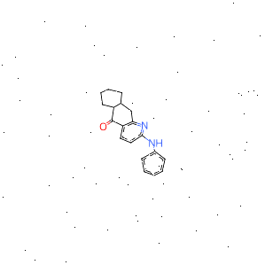 O=C1c2ccc(Nc3ccccc3)nc2CC2CCCCC12